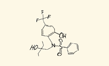 CC(C)(O)CN(c1ccc(C(F)(F)F)cc1O)S(=O)(=O)c1ccccc1